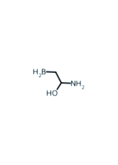 BCC(N)O